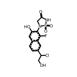 O=C1CN(c2c(O)cc3ccc(C(Cl)CO)cc3c2F)S(=O)(=O)N1